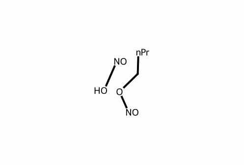 CCCCON=O.O=NO